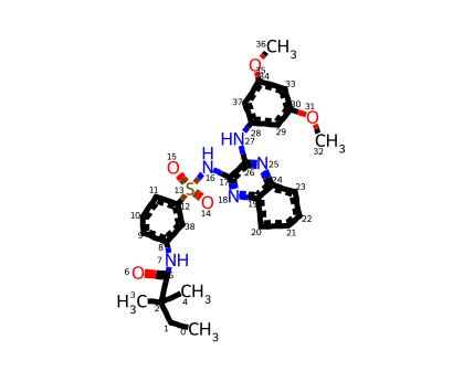 CCC(C)(C)C(=O)Nc1cccc(S(=O)(=O)Nc2nc3ccccc3nc2Nc2cc(OC)cc(OC)c2)c1